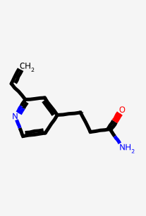 C=Cc1cc([CH]CC(N)=O)ccn1